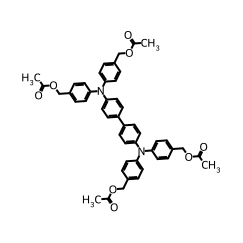 CC(=O)OCc1ccc(N(c2ccc(COC(C)=O)cc2)c2ccc(-c3ccc(N(c4ccc(COC(C)=O)cc4)c4ccc(COC(C)=O)cc4)cc3)cc2)cc1